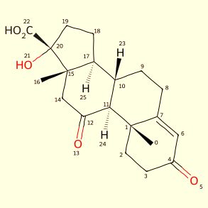 C[C@]12CCC(=O)C=C1CC[C@@H]1[C@@H]2C(=O)C[C@@]2(C)[C@H]1CC[C@]2(O)C(=O)O